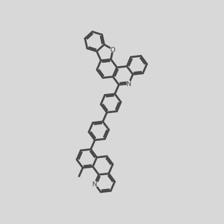 Cc1ccc(-c2ccc(-c3ccc(-c4nc5ccccc5c5c4ccc4c6ccccc6oc45)cc3)cc2)c2ccc3cccnc3c12